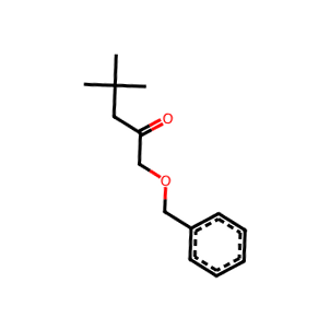 CC(C)(C)CC(=O)COCc1ccccc1